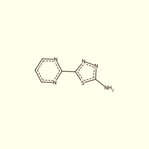 Nc1nnc(-c2ncccn2)s1